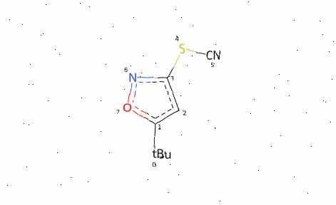 CC(C)(C)c1cc(SC#N)no1